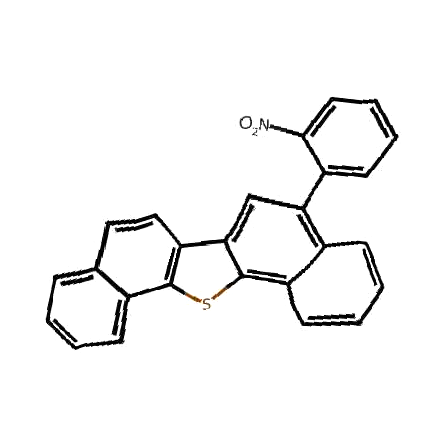 O=[N+]([O-])c1ccccc1-c1cc2c3ccc4ccccc4c3sc2c2ccccc12